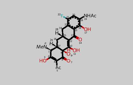 CN[C@@H]1C(O)=C(C(C)=O)C(=O)[C@@]2(O)C(O)=C3C(=O)c4c(O)c(NC(C)=O)cc(F)c4C[C@H]3C[C@@H]12